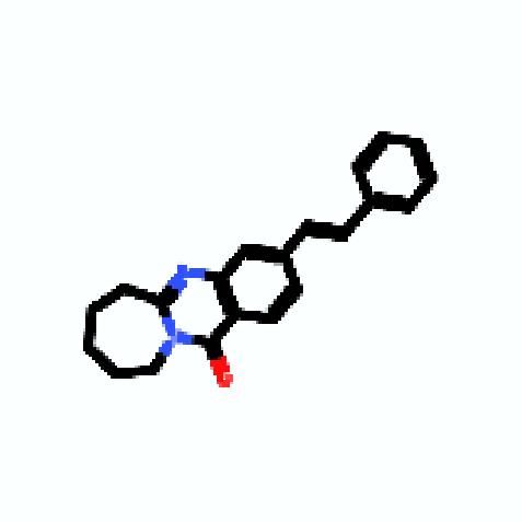 O=c1c2ccc(C=Cc3ccccc3)cc2nc2n1CCCCC2